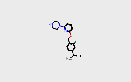 C=C(C)c1ccc(COc2cccc(N3CCNCC3)n2)c(F)c1